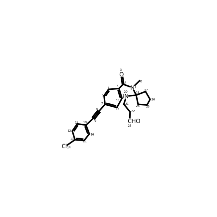 CN(C(=O)c1ccc(C#Cc2ccc(Cl)cc2)cc1)C1(NCCC=O)CCCC1